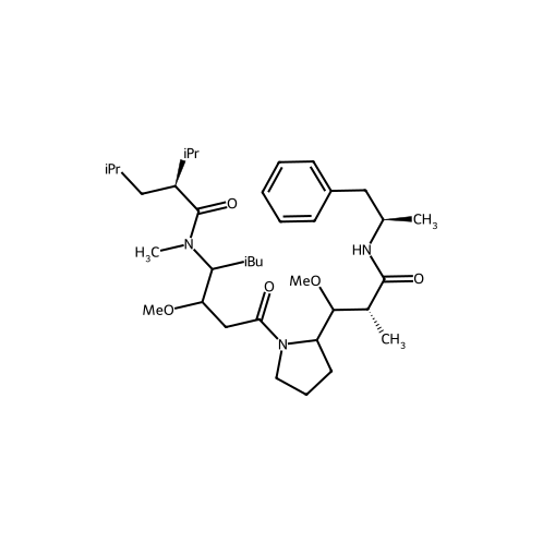 CCC(C)C(C(CC(=O)N1CCCC1C(OC)[C@@H](C)C(=O)N[C@H](C)Cc1ccccc1)OC)N(C)C(=O)[C@@H](CC(C)C)C(C)C